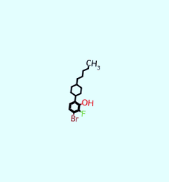 CCCCCC1CCC(c2ccc(Br)c(F)c2O)CC1